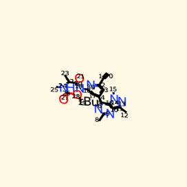 C#Cc1cc(-c2nc(C)nc3c(C)nn(C)c23)cc(NC(=O)C(C)N(C)C(=O)OC(C)(C)C)n1